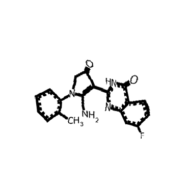 Cc1ccccc1N1CC(=O)C(c2nc3cc(F)ccc3c(=O)[nH]2)=C1N